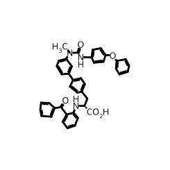 CN(C(=O)Nc1ccc(Oc2ccccc2)cc1)c1cccc(-c2ccc(C[C@H](Nc3ccccc3C(=O)c3ccccc3)C(=O)O)cc2)c1